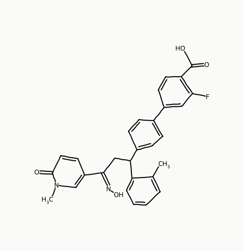 Cc1ccccc1C(C/C(=N\O)c1ccc(=O)n(C)c1)c1ccc(-c2ccc(C(=O)O)c(F)c2)cc1